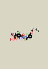 CCOCc1cccc(-c2csc(NC(=O)c3cc(Cl)c(/C=C(/OC)C(=O)O)c(Cl)c3)n2)c1F